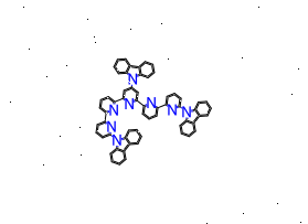 c1cc(-c2cc(-n3c4ccccc4c4ccccc43)cc(-c3cccc(-c4cccc(-n5c6ccccc6c6ccccc65)n4)n3)n2)nc(-c2cccc(-n3c4ccccc4c4ccccc43)n2)c1